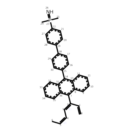 C=C/C(=C\C=C/C)c1c2ccccc2c(-c2ccc(-c3ccc(P(C)(C)=N)cc3)cc2)c2ccccc12